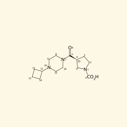 O=C(O)N1CC[C@H](C(=O)N2CCN(C3CCC3)CC2)C1